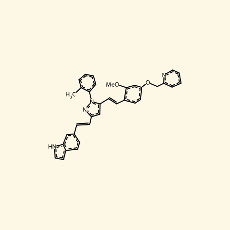 COc1cc(OCc2ccccn2)ccc1C=Cc1cc(C=Cc2ccc3cc[nH]c3c2)nn1-c1ccccc1C